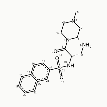 CN1CCN(C(=O)[C@H](CN)NS(=O)(=O)c2ccc3ccccc3c2)CC1